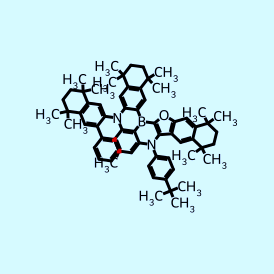 Cc1cc2c3c(c1)N(c1ccc(C(C)(C)C)cc1)c1c(oc4cc5c(cc14)C(C)(C)CCC5(C)C)B3c1cc3c(cc1N2c1cc2c(cc1-c1ccccc1)C(C)(C)CCC2(C)C)C(C)(C)CCC3(C)C